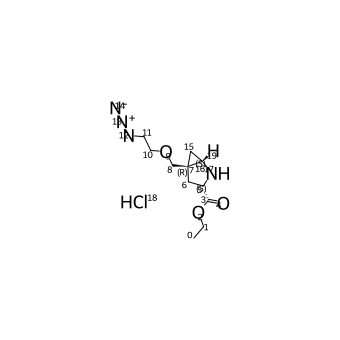 CCOC(=O)[C@@H]1C[C@]2(COCCN=[N+]=[N-])C[C@@H]2N1.Cl